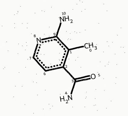 Cc1c(C(N)=O)ccnc1N